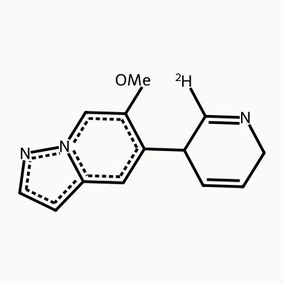 [2H]C1=NCC=CC1c1cc2ccnn2cc1OC